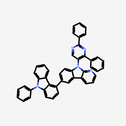 c1ccc(-c2ncc(-n3c4ccc(-c5cccc6c5c5ccccc5n6-c5ccccc5)cc4c4cccnc43)c(-c3ccccc3)n2)cc1